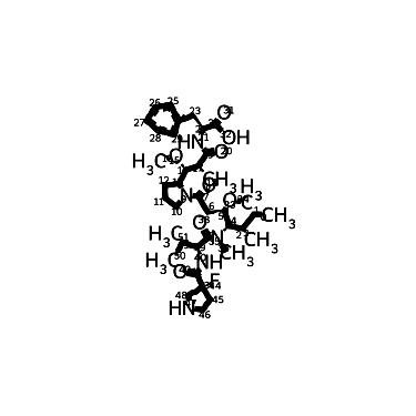 CC[C@H](C)[C@@H]([C@@H](CC(=O)N1CCCC1[C@H](OC)[C@@H](C)C(=O)N[C@@H](Cc1ccccc1)C(=O)O)OC)N(C)C(=O)[C@@H](NC(=O)[C@@]1(F)CCNC1)C(C)C